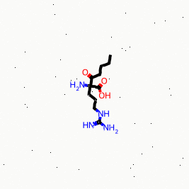 CCCCC(=O)C(N)(CCCNC(=N)N)C(=O)O